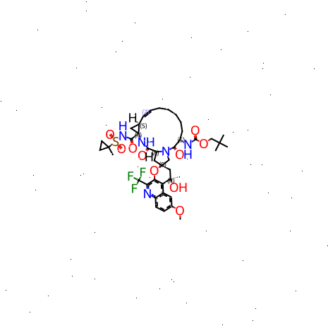 COc1ccc2nc(C(F)(F)F)c3c(c2c1)[C@](C)(O)C[C@]1(C[C@H]2C(=O)N[C@]4(C(=O)NS(=O)(=O)C5(C)CC5)C[C@H]4/C=C\CCCCC[C@H](NC(=O)OCC(C)(C)C)C(=O)N2C1)O3